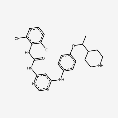 CC(Oc1ccc(Nc2cc(NC(=O)Nc3c(Cl)cccc3Cl)ncn2)cc1)C1CCNCC1